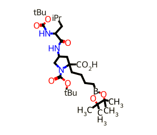 CC(C)CC(NC(=O)OC(C)(C)C)C(=O)NC1CN(C(=O)OC(C)(C)C)C(CCCCB2OC(C)(C)C(C)(C)O2)(C(=O)O)C1